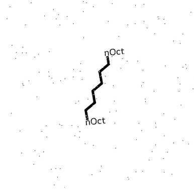 [CH2]CCCCCCCCCCCCCCCCCCCCC